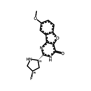 COc1ccc2oc3c(=O)[nH]c([C@@H]4C[C@@H](F)CN4)nc3c2c1